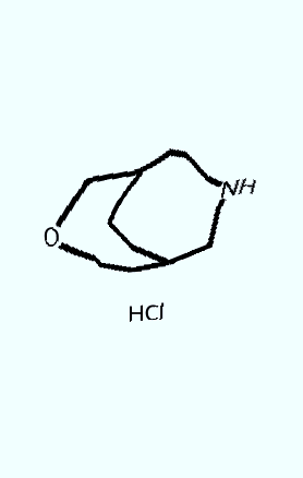 C1NCC2COCC1C2.Cl